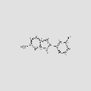 Cc1ccc2nc(-c3cccc(F)c3)oc2c1